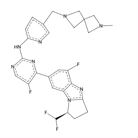 CN1CC2(C1)CN(Cc1ccc(Nc3ncc(F)c(-c4cc(F)c5nc6n(c5c4)[C@H](C(F)F)CC6)n3)nc1)C2